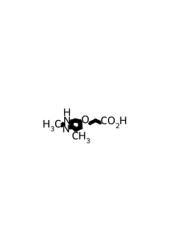 Cc1nc2c(C)cc(OCCCC(=O)O)cc2[nH]1